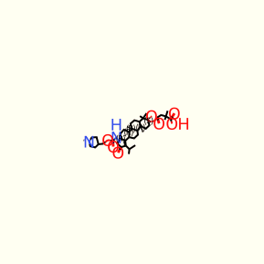 CC(C)C1=C2C3CCC4[C@@]5(C)CC[C@H](OC(=O)CC(C)(C)C(=O)O)C(C)(C)C5CC[C@@]4(C)[C@]3(C)CC[C@@]2(NC(=O)OCC2CCN(C)CC2)CC1=O